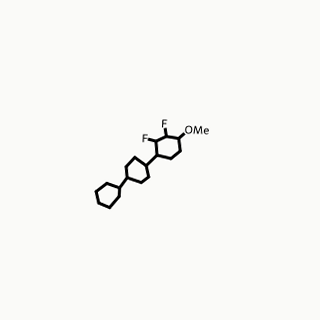 COC1CCC(C2CCC(C3CCCCC3)CC2)C(F)C1F